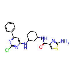 Nc1nc(C(=O)NC2CCCC(Nc3cc(-c4ccccc4)nc(Cl)n3)C2)cs1